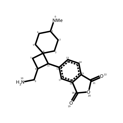 CNC1CCC2(CC1)CC(CN)C2c1ccc2c(c1)C(=O)OC2=O